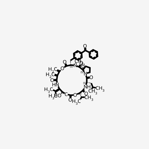 C=C1OC(=O)[C@H](Cc2ccc(C(=O)c3ccccc3)cc2)N(C)C(=O)[C@@H]2CCCN2C(=O)[C@H](CC(C)C)NC(=O)[C@H](C(C)C)OC(=O)C[C@H](O)C(=C(C)C)NC(=O)C1=C